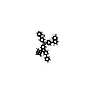 c1ccc(-c2ccc3c(c2)C2(c4ccc(N(c5ccc(-c6cccc7ccccc67)cc5)c5ccc6c(c5)oc5ccccc56)cc4-3)C3CC4CC5CC2C453)cc1